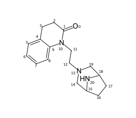 O=C1CCc2ccccc2N1CCN1CC2CCC(C1)N2